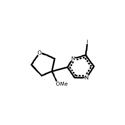 COC1(c2cncc(I)n2)CCOC1